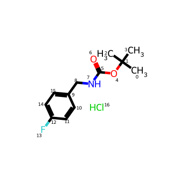 CC(C)(C)OC(=O)NCc1ccc(F)cc1.Cl